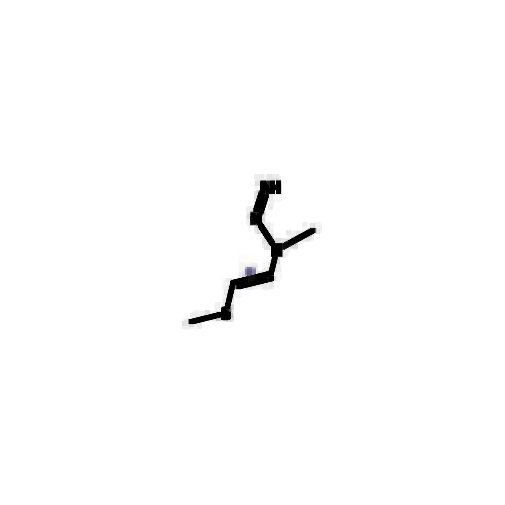 CS/C=C/N(C)N=N